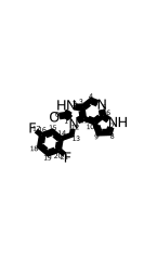 O=c1[nH]c2cnc3[nH]ccc3c2n1Cc1cc(F)ccc1F